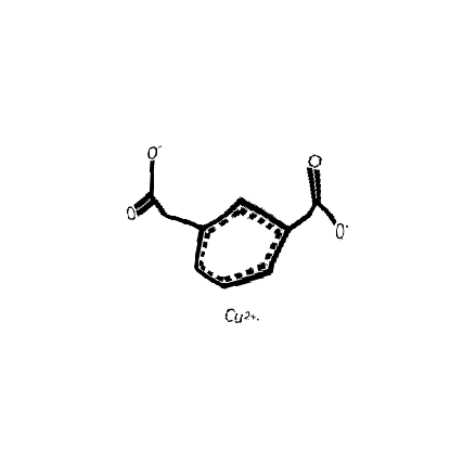 O=C([O-])c1cccc(C(=O)[O-])c1.[Cu+2]